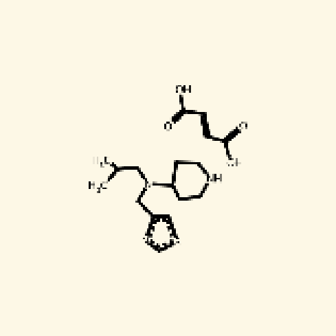 CC(C)CN(Cc1cscn1)C1CCNCC1.O=C(O)/C=C/C(=O)O